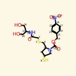 O=C(CSCC1CC(S)CN1C(=O)OCc1ccc([N+](=O)[O-])cc1)NC(CO)CO